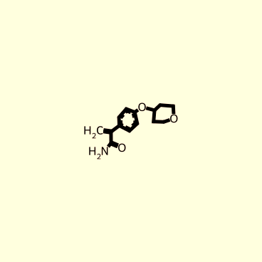 C=C(C(N)=O)c1ccc(OC2CCOCC2)cc1